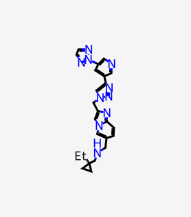 CCC1(CNCc2ccc3nc(Cn4cc(-c5cncc(-n6nccn6)c5)nn4)cn3c2)CC1